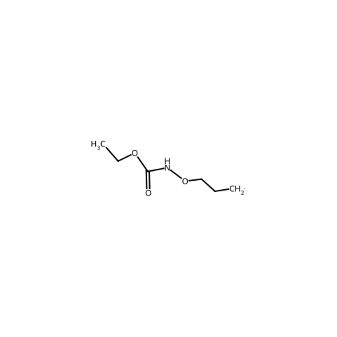 [CH2]CCONC(=O)OCC